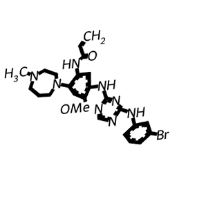 C=CC(=O)Nc1cc(Nc2ncnc(Nc3cccc(Br)c3)n2)c(OC)cc1N1CCCN(C)CC1